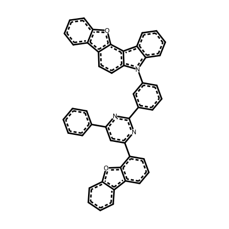 c1ccc(-c2cc(-c3cccc4c3oc3ccccc34)nc(-c3cccc(-n4c5ccccc5c5c6oc7ccccc7c6ccc54)c3)n2)cc1